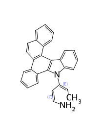 C/C=C(\C=C/N)n1c2ccccc2c2c3c4ccccc4ccc3c3ccccc3c21